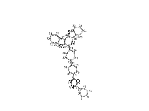 c1ccc(-c2nnc(-c3ccc(-c4ccc(-c5nc6c7ccccc7sc6c6c5sc5ccccc56)cc4)cc3)o2)cc1